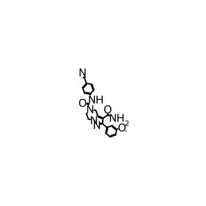 COc1cccc(-c2nn3c(c2C(N)=O)CN(C(=O)Nc2ccc(C#N)cc2)CC3)c1